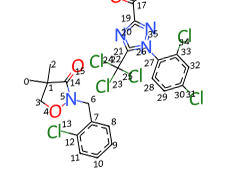 CC1(C)CON(Cc2ccccc2Cl)C1=O.O=C(O)c1nc(C(Cl)(Cl)Cl)n(-c2ccc(Cl)cc2Cl)n1